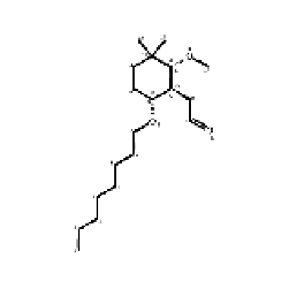 CCCCCCCCO[C@@H]1CCC(C)(C)[C@H](OC)[C@H]1CC=O